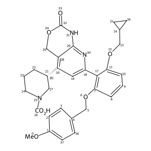 COc1ccc(COc2cccc(OCC3CC3)c2-c2cc([C@H]3CCCN(C(=O)O)C3)c3c(n2)NC(=O)OC3)cc1